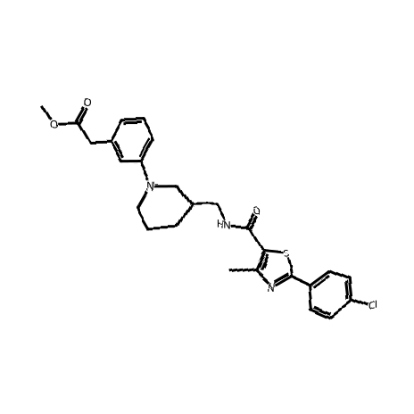 COC(=O)Cc1cccc(N2CCCC(CNC(=O)c3sc(-c4ccc(Cl)cc4)nc3C)C2)c1